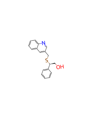 OC[C@H](SCc1cnc2ccccc2c1)c1ccccc1